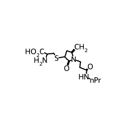 C=C1CC(SCC(N)C(=O)O)C(=O)N1CCC(=O)NCCC